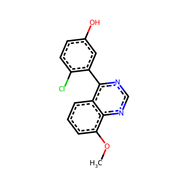 COc1cccc2c(-c3cc(O)ccc3Cl)ncnc12